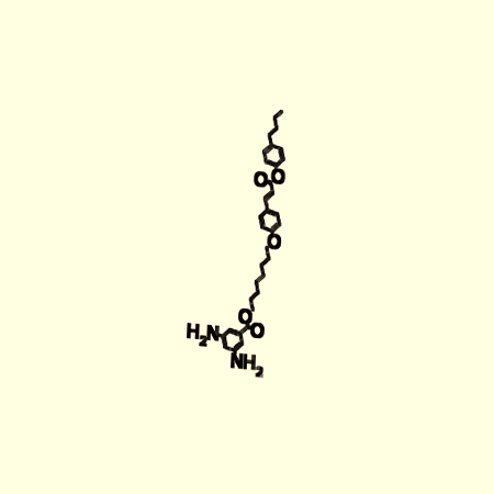 CCCCc1ccc(OC(=O)C=Cc2ccc(OCCCCCCCCOC(=O)c3cc(N)cc(N)c3)cc2)cc1